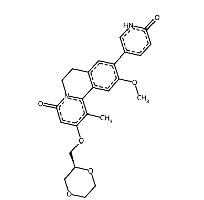 COc1cc2c(cc1-c1ccc(=O)[nH]c1)CCn1c-2c(C)c(OC[C@@H]2COCCO2)cc1=O